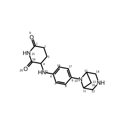 O=C1CCC(Nc2ccc(N3C4CNCC3C4)cc2)C(=O)N1